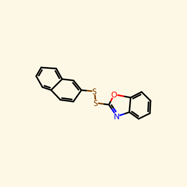 c1ccc2cc(SSc3nc4ccccc4o3)ccc2c1